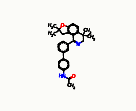 CC(=O)Nc1ccc(-c2cccc(C3=NCC(C)(C)c4ccc5c(c43)CC(C)(C)O5)c2)cc1